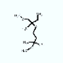 CCC(C)(COC)OCCC(C)(C)OC